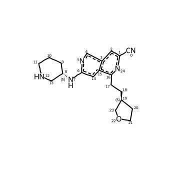 N#Cc1cc2cnc(N[C@H]3CCCNC3)cc2c(CC[C@H]2CCOC2)n1